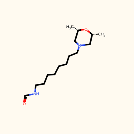 C[C@@H]1CN(CCCCCCCCNC=O)C[C@H](C)O1